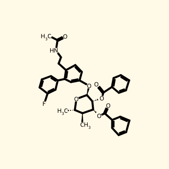 CC(=O)NCCc1ccc(O[C@@H]2O[C@@H](C)[C@H](C)[C@@H](OC(=O)c3ccccc3)[C@H]2OC(=O)c2ccccc2)cc1-c1cccc(F)c1